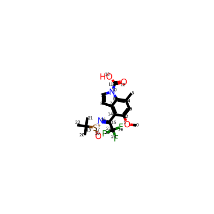 COc1cc(C)c2c(ccn2C(=O)O)c1C(=N[S+]([O-])C(C)(C)C)C(F)(F)F